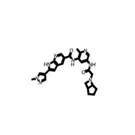 Cc1ncc(NC(=O)CN2CC3CCCC32)cc1NC(=O)c1cnc2[nH]c(-c3cnn(C)c3)cc2c1